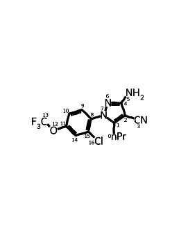 CCCc1c(C#N)c(N)nn1-c1ccc(OC(F)(F)F)cc1Cl